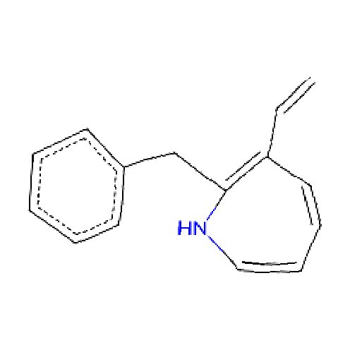 C=CC1=C(Cc2ccccc2)NC=CC=C1